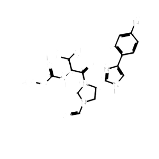 COC(=O)N[C@H](C(=O)N1CN(C=O)C[C@H]1c1nc(-c2ccc(Br)cc2)c[nH]1)C(C)C